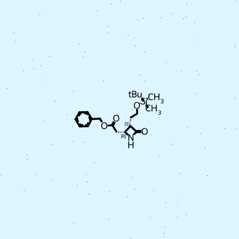 CC(C)(C)[Si](C)(C)OCC[C@@H]1C(=O)N[C@@H]1CC(=O)OCc1ccccc1